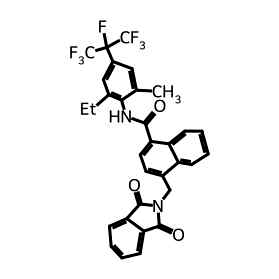 CCc1cc(C(F)(C(F)(F)F)C(F)(F)F)cc(C)c1NC(=O)c1ccc(CN2C(=O)c3ccccc3C2=O)c2ccccc12